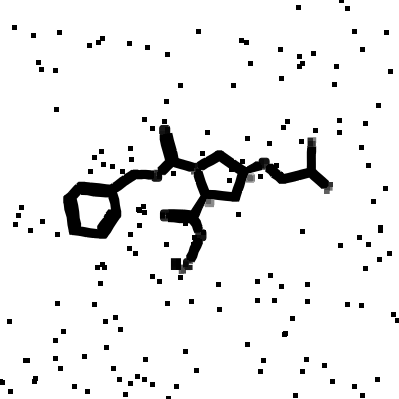 COC(=O)[C@@H]1C[C@H](OCC(F)F)CN1C(=O)OCc1ccccc1